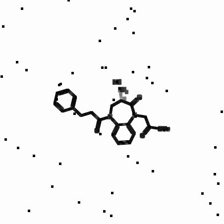 COC(=O)CN1C(=O)[C@@H](N)CN(C(=O)CCc2ccccc2)c2ccccc21.Cl